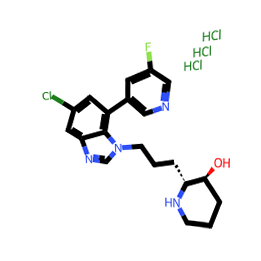 Cl.Cl.Cl.O[C@H]1CCCN[C@@H]1CCCn1cnc2cc(Cl)cc(-c3cncc(F)c3)c21